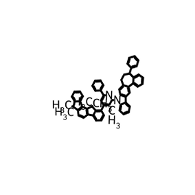 Cc1c(-c2cccc3c2C(C)(C)c2c-3ccc3c2-c2ccccc2C3(C)C)cc(-c2ccccc2)nc1-n1c2ccccc2c2cc3c(cc21)CCC(c1ccccc1)c1ccccc1-3